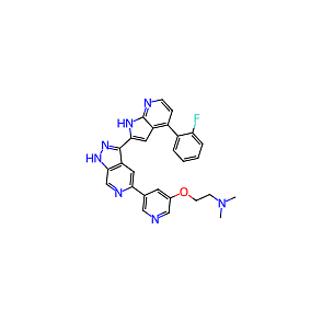 CN(C)CCOc1cncc(-c2cc3c(-c4cc5c(-c6ccccc6F)ccnc5[nH]4)n[nH]c3cn2)c1